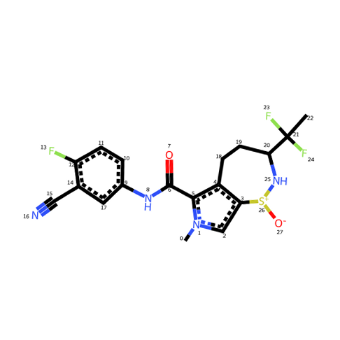 Cn1cc2c(c1C(=O)Nc1ccc(F)c(C#N)c1)CCC(C(C)(F)F)N[S+]2[O-]